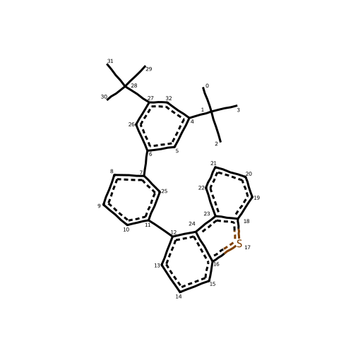 CC(C)(C)c1cc(-c2cccc(-c3cccc4sc5ccccc5c34)c2)cc(C(C)(C)C)c1